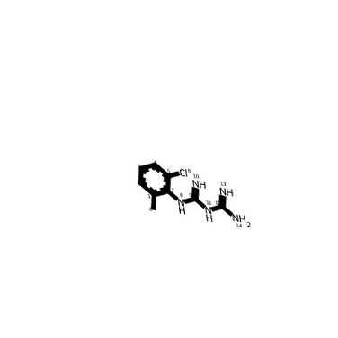 Cc1cccc(Cl)c1NC(=N)NC(=N)N